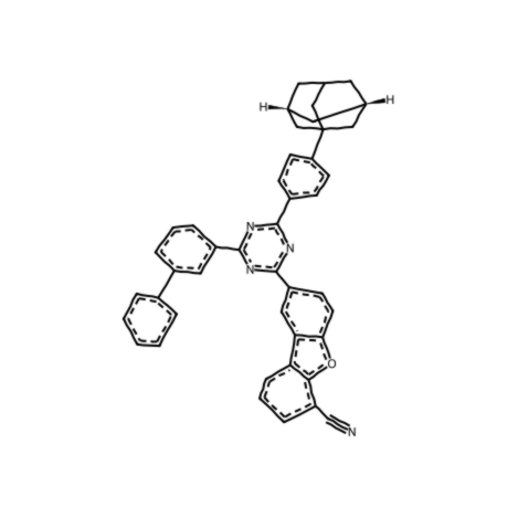 N#Cc1cccc2c1oc1ccc(-c3nc(-c4ccc(C56CC7C[C@H](C5)C[C@@H](C7)C6)cc4)nc(-c4cccc(-c5ccccc5)c4)n3)cc12